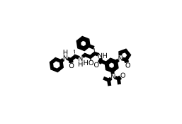 CC(=O)N(c1cc(C(=O)N[C@@H](Cc2ccccc2)[C@H](O)CN[C@@H](C)C(=O)NC2CCCCC2)cc(N2CCCC2=O)c1)C(C)C